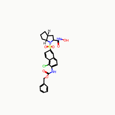 O=C(Nc1ccc2cc(S(=O)(=O)N3C(C(=O)NO)C[C@H]4CCC[C@H]43)ccc2c1Cl)OCc1ccccc1